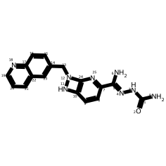 NC(=O)N/N=C(\N)c1ccc2[nH]n(Cc3ccc4ncccc4c3)c2n1